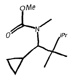 COC(=O)N(C)C(C1CC1)C(C)(C)C(C)C